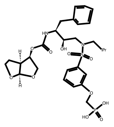 CC(C)CN(C[C@@H](O)[C@H](Cc1ccccc1)NC(=O)O[C@H]1CO[C@H]2OCC[C@H]21)S(=O)(=O)c1cccc(OCP(=O)(O)O)c1